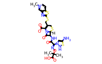 C[n+]1ccc2sc(SCC3=C(C(=O)[O-])N4C(=O)C(NC(=O)/C(=N/OC(C)(C)C(=O)O)N5C=C(N)SN5)[C@@H]4SC3)nc2c1